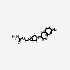 NC(=O)OCC1C2CN(C3COc4cc(Br)ccc4C3)CC12